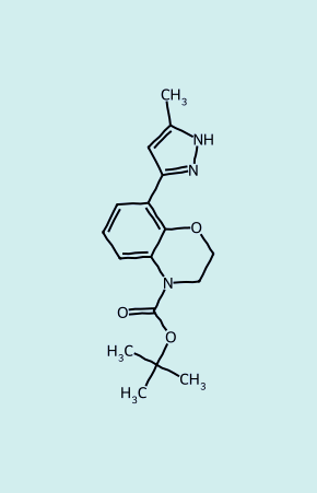 Cc1cc(-c2cccc3c2OCCN3C(=O)OC(C)(C)C)n[nH]1